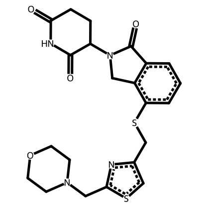 O=C1CCC(N2Cc3c(SCc4csc(CN5CCOCC5)n4)cccc3C2=O)C(=O)N1